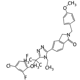 CCn1c(-c2ccc3c(c2)CN(Cc2ccc(OC)cc2)C3=O)nnc1C(C)(C)Oc1c(F)cc(Cl)cc1F